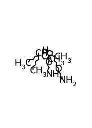 CCCCCC(C)(CCCC)[C@@H]1C[C@@H]2CCC([C@H](C)CCCOCCCN)C2(C)[C@@H](OCCCN)C1